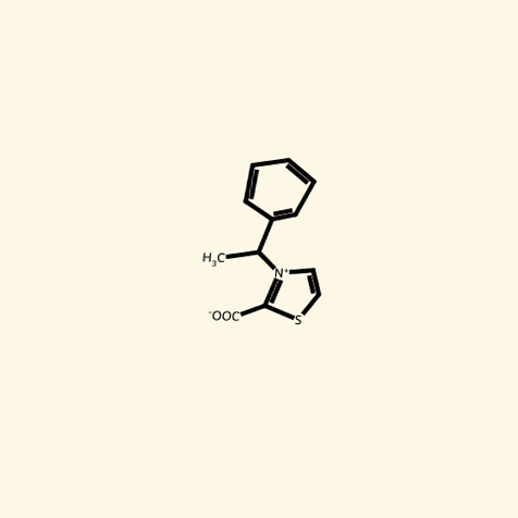 CC(c1ccccc1)[n+]1ccsc1C(=O)[O-]